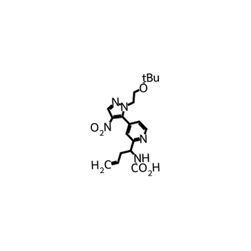 C=CCC(NC(=O)O)c1cc(-c2c([N+](=O)[O-])cnn2CCOC(C)(C)C)ccn1